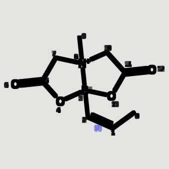 C/C=C\[B-]12OC(=O)C[N+]1(C)CC(=O)O2